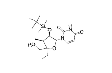 CC[C@@]1(CO)O[C@@H](n2ccc(=O)[nH]c2=O)[C@H](O[Si](C)(C)C(C)(C)C)[C@@H]1C